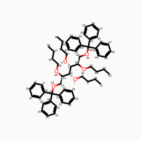 CCCCO[C@@H]([C@H](OCCCC)[C@@H](COC(c1ccccc1)(c1ccccc1)c1ccccc1)OCCCC)[C@@H](COC(c1ccccc1)(c1ccccc1)c1ccccc1)OCCCC